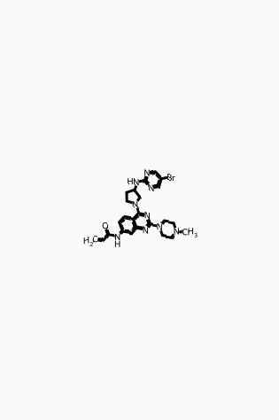 C=CC(=O)Nc1ccc2c(N3CCC(Nc4ncc(Br)cn4)C3)nc(N3CCN(C)CC3)nc2c1